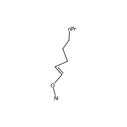 CCCCCCC=CO[N]